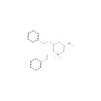 CC[C@H]1CC(C)(O)[C@H](OCc2ccccc2)[C@@H](OCc2ccccc2)[C@@H]1C